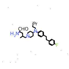 CC(C)CCN(c1ccc(CCc2ccc(F)cc2)cc1)C1CCN(CC(C)CC(N)C=O)CC1